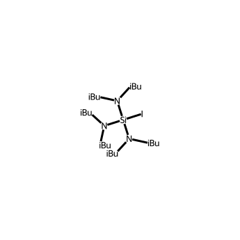 CCC(C)N(C(C)CC)[Si](I)(N(C(C)CC)C(C)CC)N(C(C)CC)C(C)CC